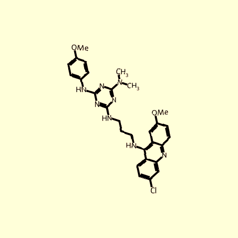 COc1ccc(Nc2nc(NCCCNc3c4ccc(Cl)cc4nc4ccc(OC)cc34)nc(N(C)C)n2)cc1